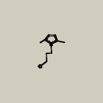 Cc1ccc(C)n1CCC[O]